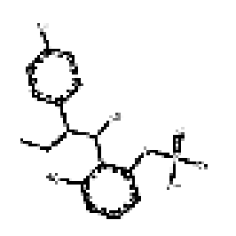 CCC(c1ccc(O)cc1)C(O)c1c(O)cccc1SP(=O)(O)O